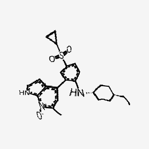 CC[C@H]1CC[C@H](Nc2ccc(S(=O)(=O)C3CC3)cc2-c2cc(C)[n+]([O-])c3[nH]ccc23)CC1